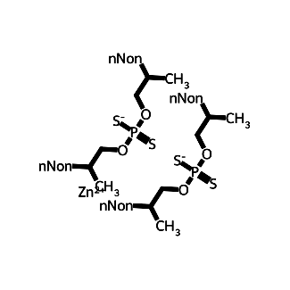 CCCCCCCCCC(C)COP(=S)([S-])OCC(C)CCCCCCCCC.CCCCCCCCCC(C)COP(=S)([S-])OCC(C)CCCCCCCCC.[Zn+2]